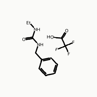 CCNC(=O)NCc1ccccc1.O=C(O)C(F)(F)F